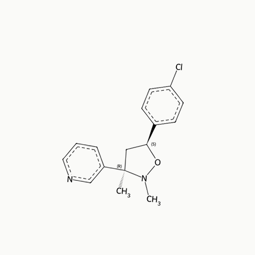 CN1O[C@H](c2ccc(Cl)cc2)C[C@]1(C)c1cccnc1